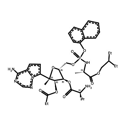 CCC(=O)O[C@@H]1[C@H](OC(=O)[C@@H](N)C(C)C)[C@@H](COP(=O)(N[C@@H](C)C(=O)OCC(CC)CC)Oc2cccc3ccccc23)O[C@@]1(C)c1ccc2c(N)ncnn12